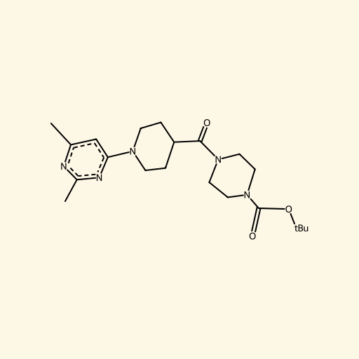 Cc1cc(N2CCC(C(=O)N3CCN(C(=O)OC(C)(C)C)CC3)CC2)nc(C)n1